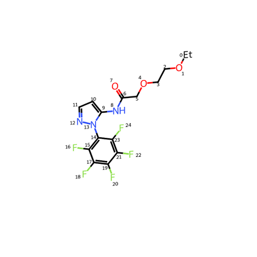 CCOCCOCC(=O)Nc1ccnn1-c1c(F)c(F)c(F)c(F)c1F